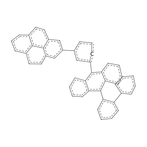 c1ccc(-c2ccccc2-c2c3ccccc3c(-c3cccc(-c4cc5ccc6cccc7ccc(c4)c5c67)c3)c3ccccc23)cc1